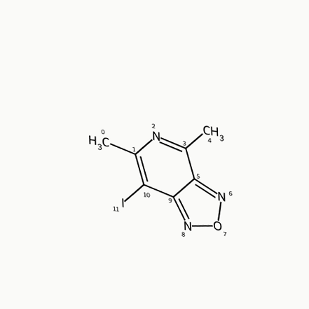 Cc1nc(C)c2nonc2c1I